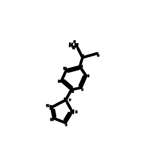 CC(N)c1ccc(-n2nccn2)cc1